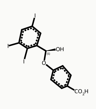 O=C(O)c1ccc(O[C@H](O)c2cc(I)cc(I)c2I)cc1